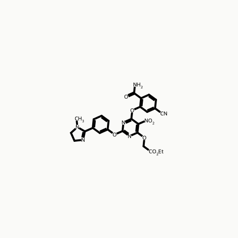 CCOC(=O)COc1nc(Oc2cccc(C3=NCCN3C)c2)nc(Oc2cc(C#N)ccc2C(N)=O)c1[N+](=O)[O-]